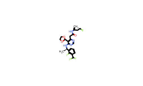 C=C(CCF)NC(=O)Cc1ncnc(N[C@H](C)c2cccc(C(F)F)c2F)c1C1OCCO1